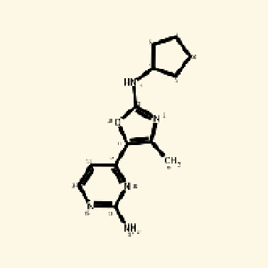 Cc1nc(NC2CCCC2)oc1-c1ccnc(N)n1